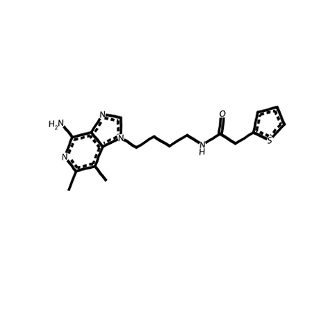 Cc1nc(N)c2ncn(CCCCNC(=O)Cc3cccs3)c2c1C